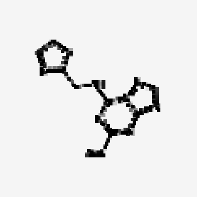 CSc1nc(NCc2nccs2)n2ncnc2n1